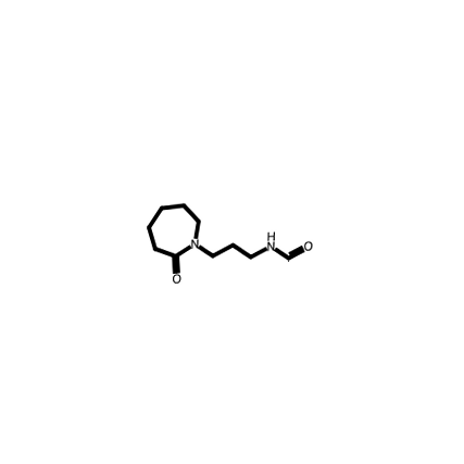 O=[C]NCCCN1CCCCCC1=O